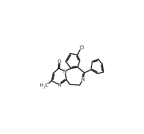 Cc1cc(=O)n2c(n1)CC/N=C(/c1ccccc1)c1cc(Cl)ccc1-2